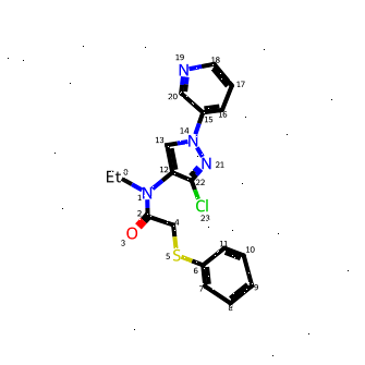 CCN(C(=O)CSc1ccccc1)c1cn(-c2cccnc2)nc1Cl